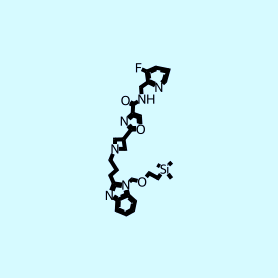 C[Si](C)(C)CCOCn1c(CCCN2CC(c3nc(C(=O)NCc4ncccc4F)co3)C2)nc2ccccc21